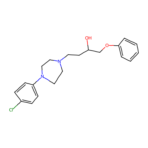 OC(CCN1CCN(c2ccc(Cl)cc2)CC1)COc1ccccc1